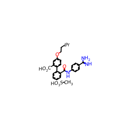 CC(C)CCOc1ccc(-c2ccccc2C(=O)Nc2ccc(C(=N)N)cc2)c(C(=O)O)c1.CS(=O)(=O)O